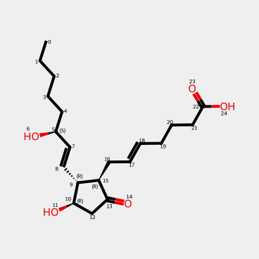 CCCCC[C@H](O)C=C[C@H]1[C@H](O)CC(=O)[C@@H]1CC=CCCCC(=O)O